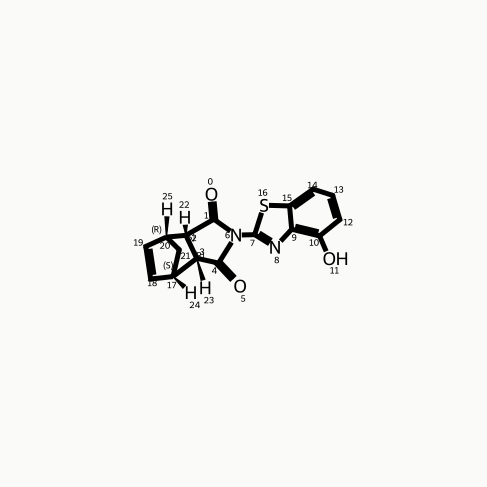 O=C1[C@@H]2[C@H](C(=O)N1c1nc3c(O)cccc3s1)[C@@H]1C=C[C@H]2C1